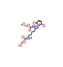 COCOC(=O)NCCCCC(CN1C(=O)C=CC1=O)NC(=O)OCOC